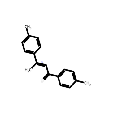 C/C(=C\C(=O)c1ccc(C)cc1)c1ccc(C)cc1